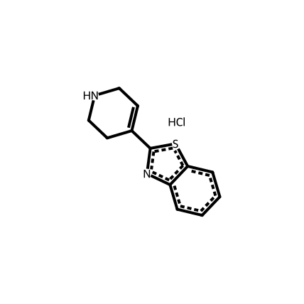 C1=C(c2nc3ccccc3s2)CCNC1.Cl